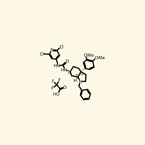 COc1ccc([C@@]23CC[C@H](NC(=O)Nc4cc(Cl)nc(Cl)c4)C[C@@H]2N(Cc2ccccc2)CC3)cc1OC.O=C(O)C(F)(F)F